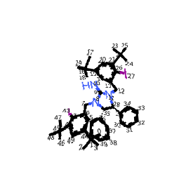 CC(C)(C)c1cc(CN2C(=N)N(Cc3cc(C(C)(C)C)cc(C(C)(C)C)c3I)[C@@H](c3ccccc3)[C@@H]2c2ccccc2)c(I)c(C(C)(C)C)c1